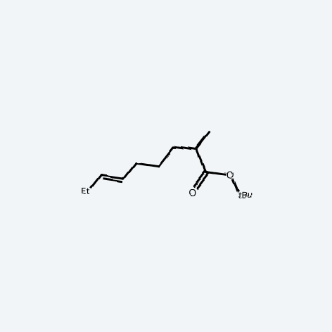 CC/C=C/CCCC(C)C(=O)OC(C)(C)C